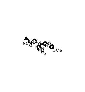 COc1ccc(Oc2ccc(-c3nn(C4CCCN(C(=O)C(C#N)=CC5CC5)C4)c4ncnc(N)c34)cn2)cc1